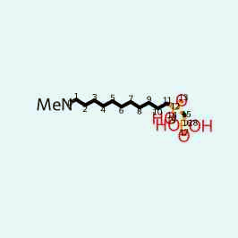 CNCCCCCCCCCCCP(=O)(O)CP(=O)(O)O